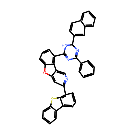 c1ccc(C2=NC(c3ccc4ccccc4c3)NC(c3cccc4oc5cc(-c6cccc7c6sc6ccccc67)ncc5c34)=N2)cc1